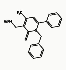 CC(=O)NCc1c(C(F)(F)F)cc(-c2ccccc2)n(Cc2ccccc2)c1=O